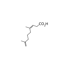 C=C(C)CCCC(C)=CCC(=O)O